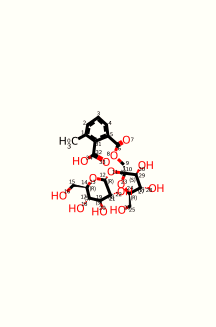 Cc1cccc(C(=O)OC[C@@]2(O[C@H]3O[C@H](CO)[C@@H](O)[C@H](O)[C@H]3O)O[C@H](CO)[C@@H](O)[C@@H]2O)c1C(=O)O